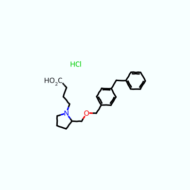 Cl.O=C(O)CCCN1CCCC1COCc1ccc(Cc2ccccc2)cc1